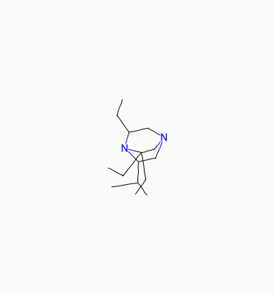 CCC1CN2CC(C(C)C)N1C(CC)(CC)C2